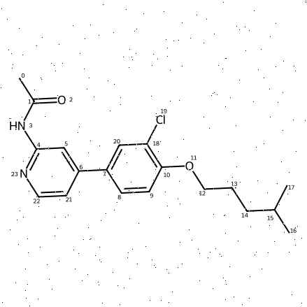 CC(=O)Nc1cc(-c2ccc(OC[CH]CC(C)C)c(Cl)c2)ccn1